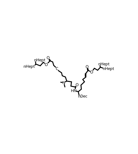 CCCCCCCCCCC(CCCCC=CC(=O)OCCC(CCCCCCC)CCCCCCC)NC(=O)CCC(CCCCCCCC(=O)OCCC(CCCCCCC)CCCCCCC)N(C)C